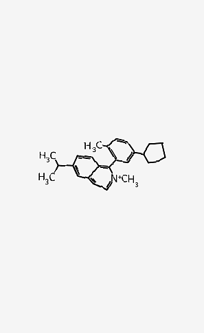 Cc1ccc(C2CCCCC2)cc1-c1c2ccc(C(C)C)cc2cc[n+]1C